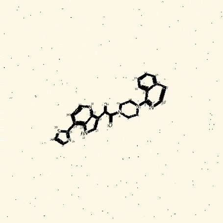 O=C(C(=O)N1CCN(c2nccc3ccccc23)CC1)c1c[nH]c2c(-c3nccs3)ccnc12